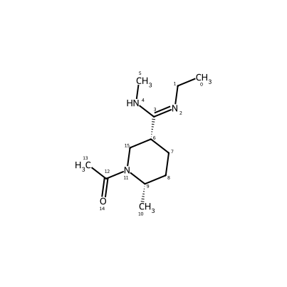 CC/N=C(\NC)[C@@H]1CC[C@H](C)N(C(C)=O)C1